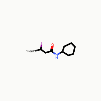 CCCCCC(I)CC(=O)NC1CCCCC1